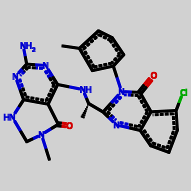 Cc1cccc(-n2c([C@H](C)Nc3nc(N)nc4c3C(=O)N(C)CN4)nc3cccc(Cl)c3c2=O)c1